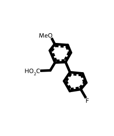 COc1ccc(-c2ccc(F)cc2)c(CC(=O)O)c1